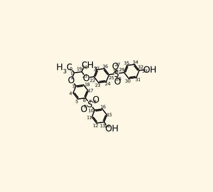 CC(Oc1ccc(S(=O)(=O)c2ccc(O)cc2)cc1)C(C)Oc1ccc(S(=O)(=O)c2ccc(O)cc2)cc1